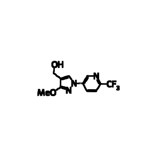 COc1nn(-c2ccc(C(F)(F)F)nc2)cc1CO